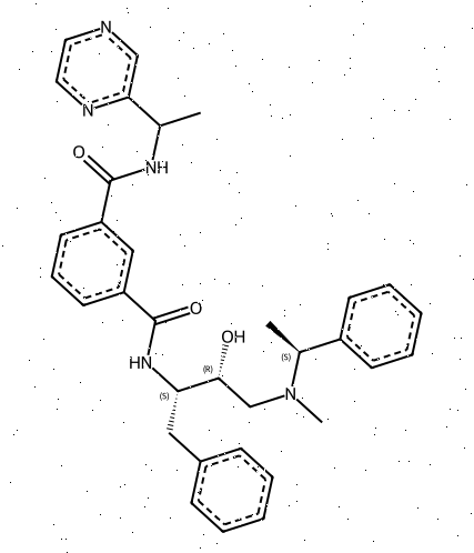 CC(NC(=O)c1cccc(C(=O)N[C@@H](Cc2ccccc2)[C@H](O)CN(C)[C@@H](C)c2ccccc2)c1)c1cnccn1